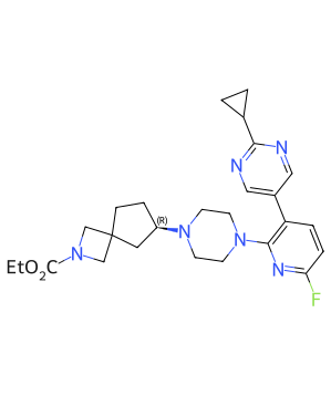 CCOC(=O)N1CC2(CC[C@@H](N3CCN(c4nc(F)ccc4-c4cnc(C5CC5)nc4)CC3)C2)C1